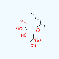 CCCCC(CC)COCC(O)CO.OCC(O)CO